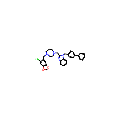 Clc1cc2c(cc1CN1CCCN(Cc3nc4ccccc4n3Cc3ccc(-c4ccccc4)cc3)CC1)OCO2